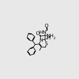 CC1=C(C(c2ccccc2)c2ccccc2)N2C(=O)[C@](N)(NC=O)[C@@H]2SC1